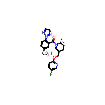 C[C@H]1CCC(COc2ccc(F)cn2)CN1C(=O)c1cc(C(=O)O)ccc1-n1nccn1